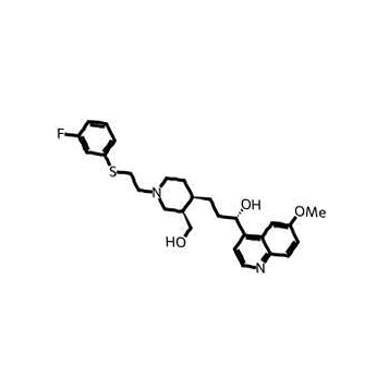 COc1ccc2nccc([C@@H](O)CC[C@@H]3CCN(CCSc4cccc(F)c4)C[C@@H]3CO)c2c1